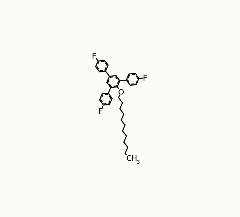 CCCCCCCCCCCCOc1c(-c2ccc(F)cc2)cc(-c2ccc(F)cc2)cc1-c1ccc(F)cc1